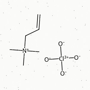 C=CC[N+](C)(C)C.[O-][Cl+3]([O-])([O-])[O-]